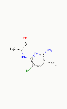 CC(CO)Nc1nc(N)c([N+](=O)[O-])cc1Br